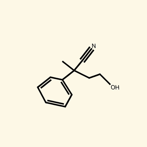 CC(C#N)(CCO)c1ccccc1